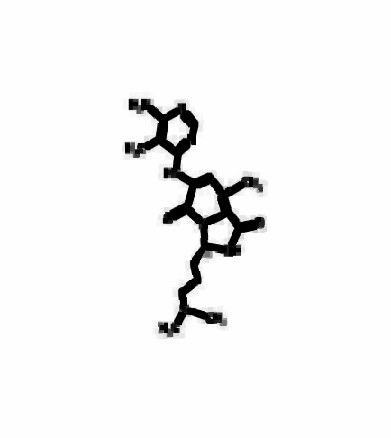 Cc1cc(Nc2ncnc(N)c2C)c(=O)n2c1C(=O)N[C@H]2CCCN(C)C